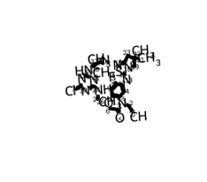 C#CCN1C(=O)COc2cc(F)c(/N=c3\snc4n3CC(C)(C)C4)cc21.CCNc1nc(Cl)nc(NC(C)(C)C#N)n1